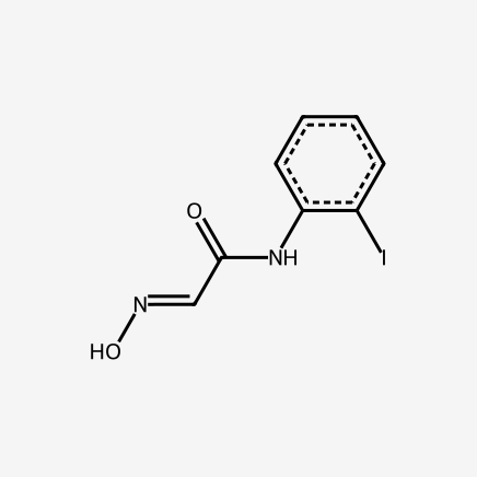 O=C(C=NO)Nc1ccccc1I